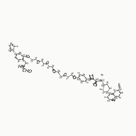 Cc1ncsc1-c1ccc(CNC=O)c(OCCOCCOCCOCCOCCOc2ccc(NC(=O)[C@H](C)C3CCC(c4ccnc5ccc(F)cc45)CC3)cc2)c1